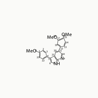 COc1ccc(-c2c[nH]c3ncc(-c4ccc(OC)c(OC)c4)cc23)cc1